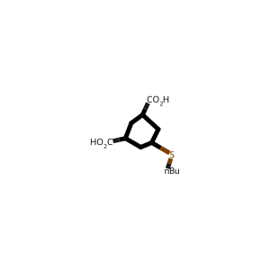 CCCCSC1CC(C(=O)O)CC(C(=O)O)C1